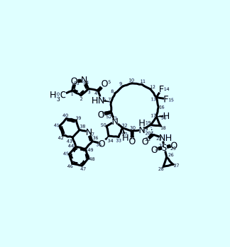 Cc1cc(C(=O)N[C@H]2CCCCCC(F)(F)C[C@@H]3C[C@@]3(C(=O)NS(=O)(=O)C3CC3)NC(=O)[C@@H]3C[C@@H](OC4=NC5C=CC=CC5c5ccccc54)CN3C2=O)no1